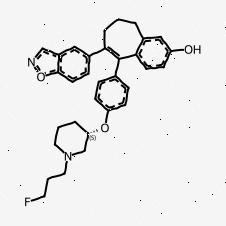 Oc1ccc2c(c1)CCCC(c1ccc3oncc3c1)=C2c1ccc(O[C@H]2CCCN(CCCF)C2)cc1